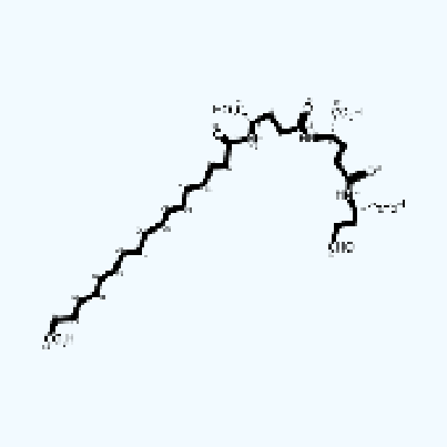 O=[C]CC[C@H](NC(=O)CC[C@H](NC(=O)CC[C@H](NC(=O)CCCCCCCCCCCCCCCCC(=O)O)C(=O)O)C(=O)O)C(=O)O